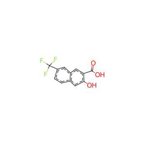 O=C(O)c1cc2cc(C(F)(F)F)ccc2cc1O